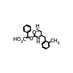 Cc1ccccc1CC(CS)NC(=O)O[C@@H](C(=O)O)c1ccccc1